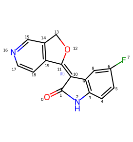 O=C1Nc2ccc(F)cc2/C1=C1\OCc2cnccc21